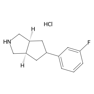 Cl.Fc1cccc(C2C[C@H]3CNC[C@H]3C2)c1